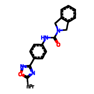 CCCc1nc(-c2ccc(NC(=O)N3Cc4ccccc4C3)cc2)no1